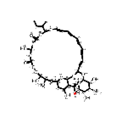 CCC(C)C1C/C=C/C=C/C=C/C=C/C=C/C(O[C@@H]2O[C@H](C)[C@@H](O)[C@H](N)[C@H]2O)CC2OC(O)(CC(O)C(O)CCC(=O)CC(O)CC(=O)O1)CC(O)C2C(=O)O